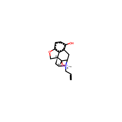 C=CC[N@@+]1(C)CC[C@@]23COc4ccc(O)c(c42)CC1C3(O)CC